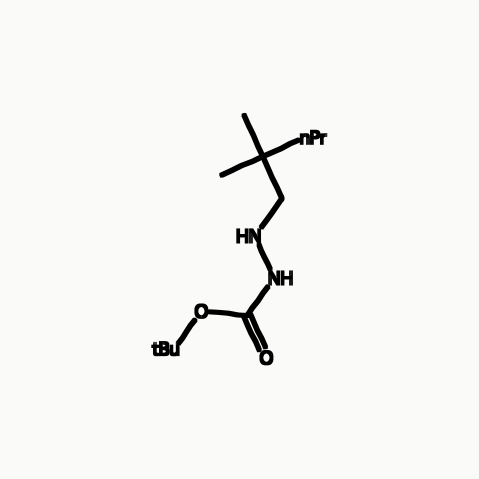 CCCC(C)(C)CNNC(=O)OC(C)(C)C